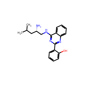 CC(C)C[C@H](N)CNc1nc(-c2ccccc2O)nc2ccccc12